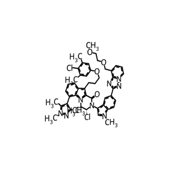 COCCOCc1cccn2nc(-c3ccc4c(c3)c(N3C(=O)c5c(CCCOc6cc(C)c(Cl)c(C)c6)c6cccc(-c7c(C)nn(C)c7C)c6n5C(C)[C@H]3Cl)cn4C)nc12